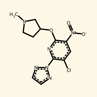 CN1CCC(Oc2nc(-n3nccn3)c(Cl)cc2[N+](=O)[O-])C1